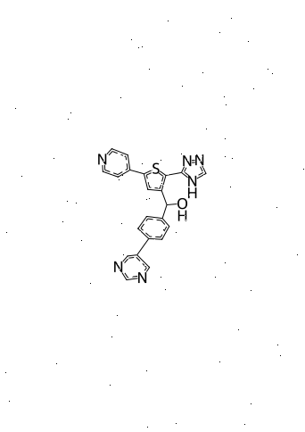 OC(c1ccc(-c2cncnc2)cc1)c1cc(-c2ccncc2)sc1-c1nnc[nH]1